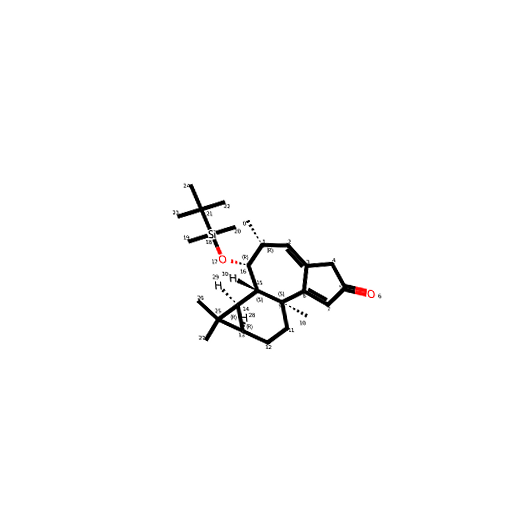 C[C@@H]1C=C2CC(=O)C=C2[C@@]2(C)CC[C@@H]3[C@H]([C@@H]2[C@@H]1O[Si](C)(C)C(C)(C)C)C3(C)C